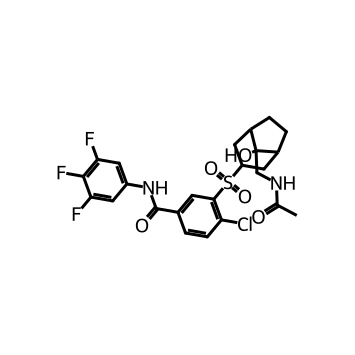 CC(=O)NCC1(O)C2CCC1CC(S(=O)(=O)c1cc(C(=O)Nc3cc(F)c(F)c(F)c3)ccc1Cl)C2